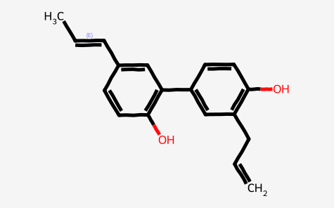 C=CCc1cc(-c2cc(/C=C/C)ccc2O)ccc1O